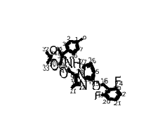 Cc1ccc(C2(NC(=O)c3c(C)nc4c(OCc5c(F)cccc5F)cccn34)COC(C)(C)OC2)cc1